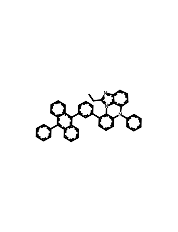 CCc1nc2cccc3c2n1-c1c(-c2cccc(-c4c5ccccc5c(-c5ccccc5)c5ccccc45)c2)cccc1N3c1ccccc1